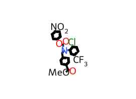 COC(=O)c1ccc(CN(C(=O)Oc2ccc([N+](=O)[O-])cc2)c2cc(C(F)(F)F)ccc2Cl)cc1